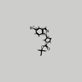 CC(C)(C)OC(=O)N1CCC(n2ncc3cc(Br)ccc32)C1